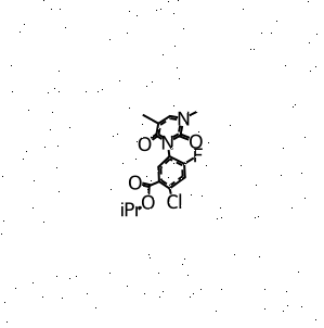 Cc1cn(C)c(=O)n(-c2cc(C(=O)OC(C)C)c(Cl)cc2F)c1=O